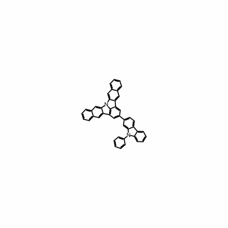 c1ccc(-n2c3ccccc3c3ccc(-c4cc5c6cc7ccccc7cc6n6c7cc8ccccc8cc7c(c4)c56)cc32)cc1